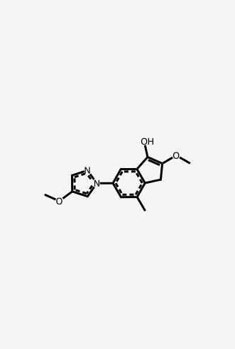 COC1=C(O)c2cc(-n3cc(OC)cn3)cc(C)c2C1